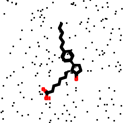 CCCCCCc1ccc([C@H]2CCC(=O)[C@@H]2CCCCCCC(=O)O)cc1